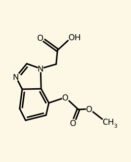 COC(=O)Oc1cccc2ncn(CC(=O)O)c12